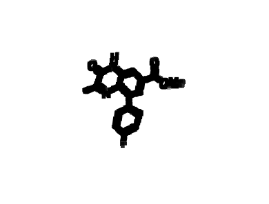 COC(=O)c1cc(-c2ccc(F)cc2)c2nc(C)c(=O)[nH]c2c1